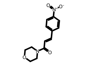 O=C(/C=C/c1ccc([N+](=O)[O-])cc1)N1CCOCC1